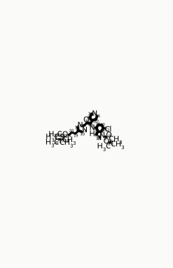 CC(C)(C)OC(=O)n1ncc2c(Nc3c(-c4ncc(CCCO[Si](C)(C)C(C)(C)C)cn4)oc4cnccc34)ccc(Cl)c21